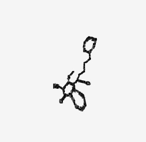 CSc1c(C#N)c(=O)n2ccccc2c1C(=O)CCCCc1ccccc1